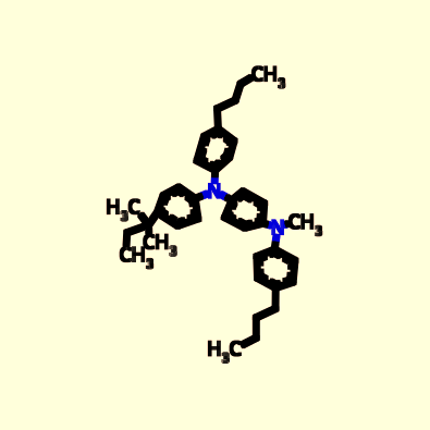 CCCCc1ccc(N(C)c2ccc(N(c3ccc(CCCC)cc3)c3ccc(C(C)(C)CC)cc3)cc2)cc1